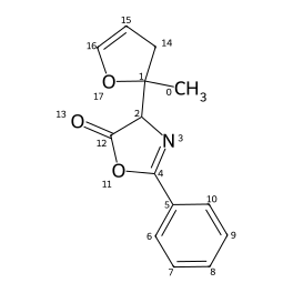 CC1(C2N=C(c3ccccc3)OC2=O)CC=CO1